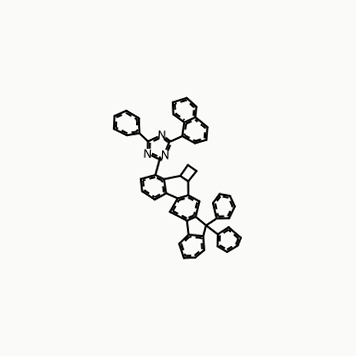 c1ccc(-c2nc(-c3cccc4c3C3CCC3c3cc5c(cc3-4)-c3ccccc3C5(c3ccccc3)c3ccccc3)nc(-c3cccc4ccccc34)n2)cc1